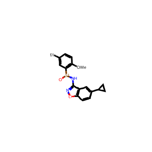 CCc1ccc(OC)c([S+]([O-])Nc2noc3ccc(C4CC4)cc23)c1